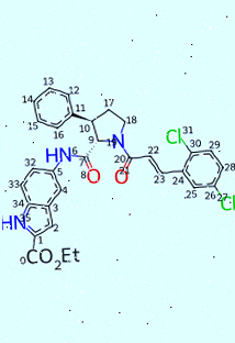 CCOC(=O)c1cc2cc(NC(=O)[C@@H]3[C@@H](c4ccccc4)CCN3C(=O)/C=C/c3cc(Cl)ccc3Cl)ccc2[nH]1